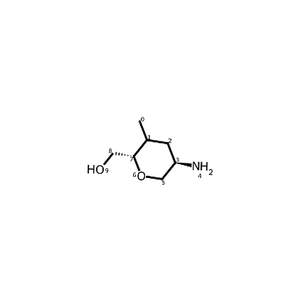 CC1C[C@@H](N)CO[C@@H]1CO